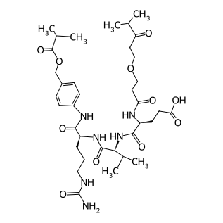 CC(C)C(=O)CCOCCC(=O)N[C@@H](CCC(=O)O)C(=O)N[C@H](C(=O)N[C@@H](CCCNC(N)=O)C(=O)Nc1ccc(COC(=O)C(C)C)cc1)C(C)C